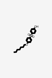 CCCCCCCOc1ccc(S(=O)(=O)c2ccc(O)cc2)cc1